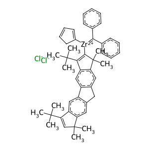 CC(C)(C)C1=CC(C)(C)c2cc3c(cc21)-c1cc2c(cc1C3)C(C)(C)[C]([Zr+2]([C]1=CC=CC1)=[C](c1ccccc1)c1ccccc1)=C2C(C)(C)C.[Cl-].[Cl-]